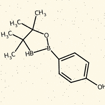 CC1(C)BB(c2ccc(O)cc2)OC1(C)C